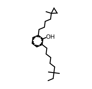 CCC(C)(C)CCCCCc1cccc(CCCCC2(C)CC2)c1O